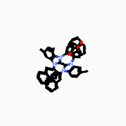 Cc1ccc2c(c1)N(c1ccc3ccccc3c1)C(C1N(c3ccc4ccccc4c3)c3ccc(C)cc3N1c1ccc3ccccc3c1)N2c1ccc2ccccc2c1